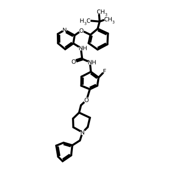 CC(C)(C)c1ccccc1Oc1ncccc1NC(=O)Nc1ccc(OCC2CCN(Cc3ccccc3)CC2)cc1F